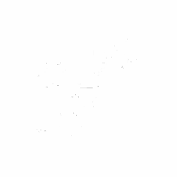 COC1CCN(c2ccc(C#CC3(O)CN4CCC3CC4)c(Cc3ccccc3)n2)C1